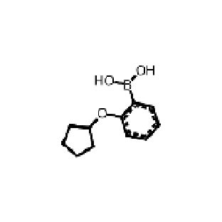 OB(O)c1ccccc1OC1CCCC1